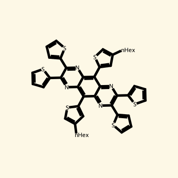 CCCCCCc1csc(-c2c3nc(-c4cccs4)c(-c4cccs4)nc3c(-c3cc(CCCCCC)cs3)c3nc(-c4cccs4)c(-c4cccs4)nc23)c1